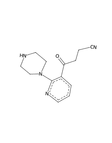 N#CCCC(=O)c1cccnc1N1CCNCC1